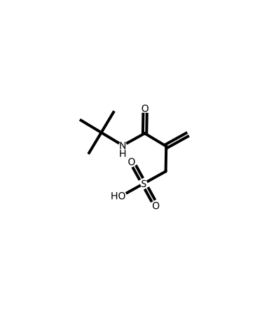 C=C(CS(=O)(=O)O)C(=O)NC(C)(C)C